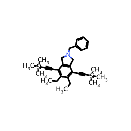 CCc1c(C#C[Si](C)(C)C)c2c(c(C#C[Si](C)(C)C)c1CC)CN(Cc1ccccc1)C2